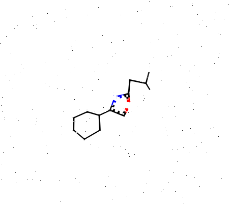 CC(=O)C(C)Cc1nc(C2CCCCC2)co1